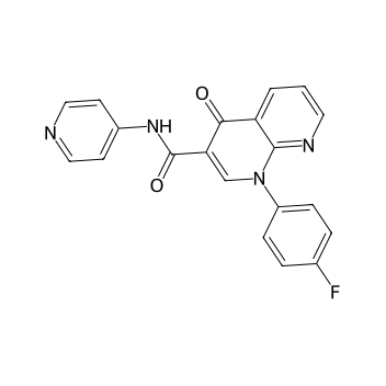 O=C(Nc1ccncc1)c1cn(-c2ccc(F)cc2)c2ncccc2c1=O